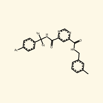 [2H]C([2H])(NC(=O)c1cc(C(=O)NCc2cccc(C)c2)ncn1)c1ccc(C(C)=O)cc1